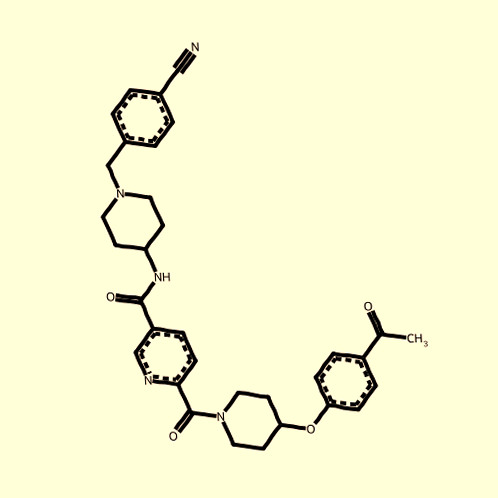 CC(=O)c1ccc(OC2CCN(C(=O)c3ccc(C(=O)NC4CCN(Cc5ccc(C#N)cc5)CC4)cn3)CC2)cc1